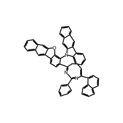 C1=C(c2cccc3ccccc23)/N=C(c2ccccc2)\N=C(\c2ccc3c(oc4cc5ccccc5cc43)c2-n2c3ccccc3c3cc4ccccc4cc32)CC\1